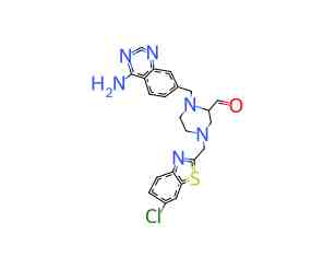 Nc1ncnc2cc(CN3CCN(Cc4nc5ccc(Cl)cc5s4)CC3C=O)ccc12